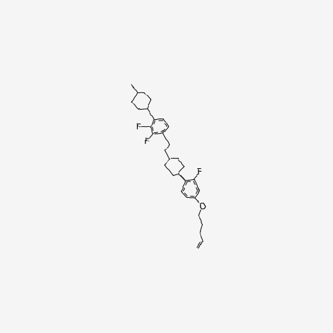 C=CCCCOc1ccc(C2CCC(CCc3ccc(C4CCC(C)CC4)c(F)c3F)CC2)c(F)c1